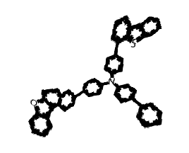 c1ccc(-c2ccc(N(c3ccc(-c4ccc5c(ccc6oc7ccccc7c65)c4)cc3)c3ccc(-c4cccc5c4sc4ccccc45)cc3)cc2)cc1